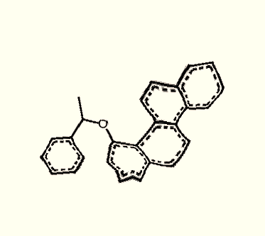 CC(Oc1cccc2ccc3c4ccccc4ccc3c12)c1ccccc1